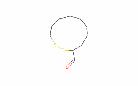 O=[C]C1CCCCCCCCSS1